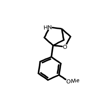 COc1cccc(C23CNC(CO2)C3)c1